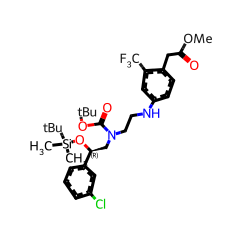 COC(=O)Cc1ccc(NCCN(C[C@H](O[Si](C)(C)C(C)(C)C)c2cccc(Cl)c2)C(=O)OC(C)(C)C)cc1C(F)(F)F